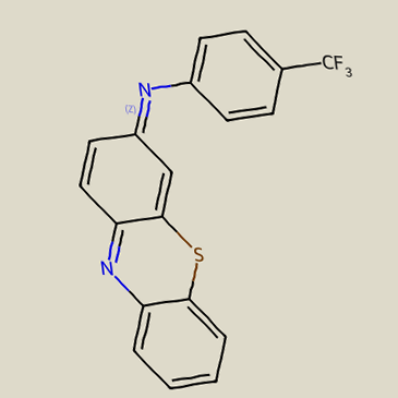 FC(F)(F)c1ccc(/N=c2/ccc3nc4ccccc4sc-3c2)cc1